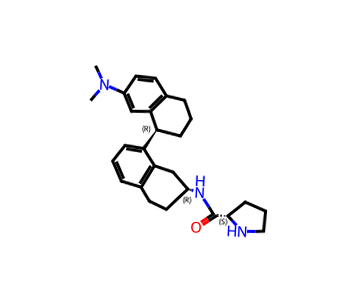 CN(C)c1ccc2c(c1)[C@H](c1cccc3c1C[C@H](NC(=O)[C@@H]1CCCN1)CC3)CCC2